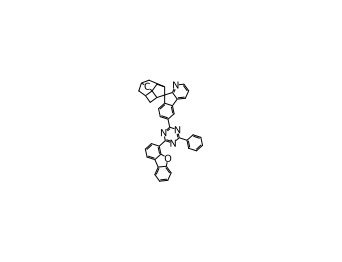 c1ccc(-c2nc(-c3ccc4c(c3)-c3cccnc3C43C4CC5CC6CC3C6(C5)C4)nc(-c3cccc4c3oc3ccccc34)n2)cc1